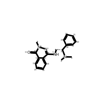 CN(C)[C@H](CNc1nn(C)c(=O)c2ccccc12)c1ccccc1